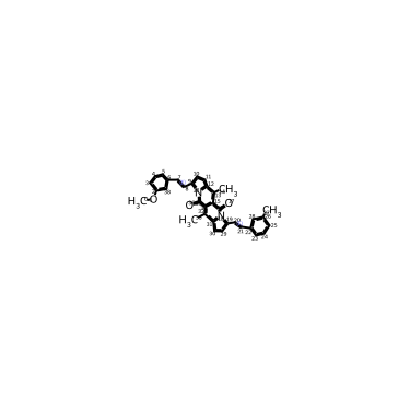 COc1cccc(/C=C/c2ccc3c(C)c4c(=O)n5c(/C=C/c6cccc(C)c6)ccc5c(C)c4c(=O)n23)c1